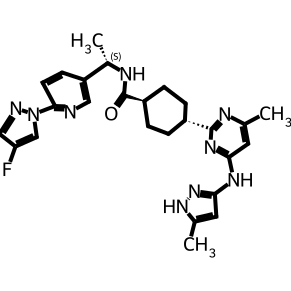 Cc1cc(Nc2cc(C)[nH]n2)nc([C@H]2CC[C@H](C(=O)N[C@@H](C)c3ccc(-n4cc(F)cn4)nc3)CC2)n1